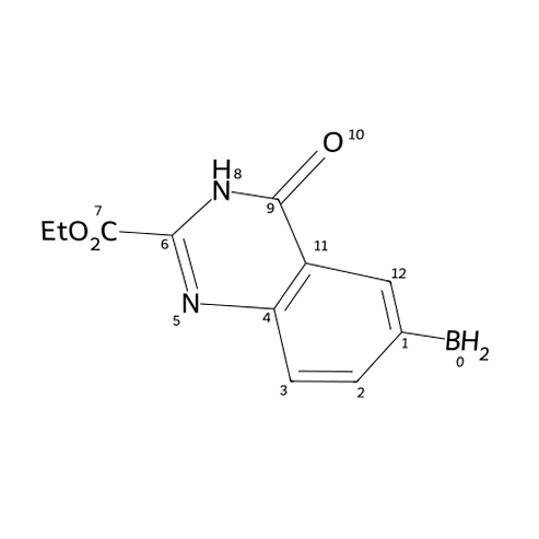 Bc1ccc2nc(C(=O)OCC)[nH]c(=O)c2c1